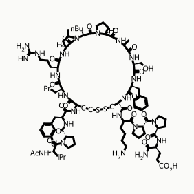 CCCC[C@H]1C(=O)N2CCC[C@H]2C(=O)NC(C)C(=O)N[C@@H](CO)C(=O)N[C@@H](Cc2ccccc2)C(=O)N[C@H](C(=O)NC(CCCCN)C(=O)N2CCC[C@H]2C(=O)N2CCC[C@H]2C(=O)N[C@@H](CCC(=O)O)C(N)=O)CSSCCC(NC(=O)[C@H](Cc2cccc(Cl)c2)NC(=O)[C@@H]2CCCN2C(=O)[C@@H](NC(C)=O)C(C)C)C(=O)N[C@@H](CC(C)C)C(=O)N[C@@H](CCCNC(=N)N)C(=O)N[C@H]2CC(C)N1C2=O